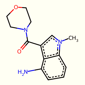 Cn1cc(C(=O)N2CCOCC2)c2c(N)cccc21